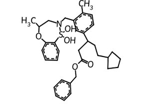 Cc1ccc(C(CCC2CCCC2)CC(=O)OCc2ccccc2)cc1CN1CC(C)Oc2ccccc2S1(O)O